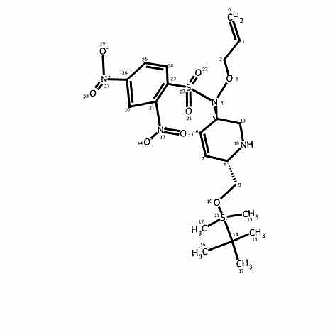 C=CCON([C@@H]1C=C[C@@H](CO[Si](C)(C)C(C)(C)C)NC1)S(=O)(=O)c1ccc([N+](=O)[O-])cc1[N+](=O)[O-]